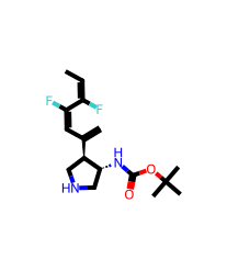 C=C(/C=C(F)\C(F)=C/C)[C@@H]1CNC[C@H]1NC(=O)OC(C)(C)C